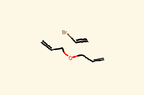 C=CBr.C=CCOCC=C